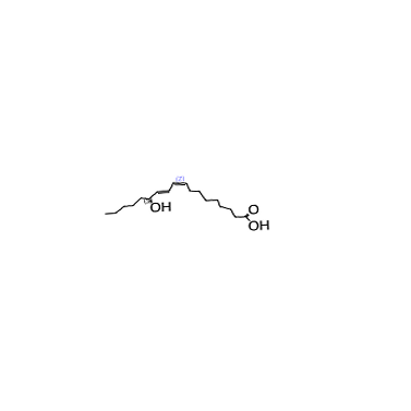 CCCCC[C@H](O)C=C/C=C\CCCCCCCC(=O)O